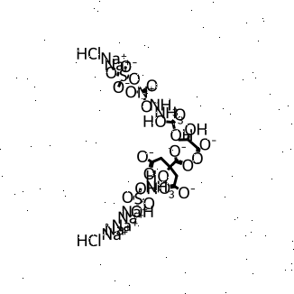 CC(O)C(=O)[O-].Cl.Cl.N.N.N.O=C(O)O.O=C([O-])CC(O)(CC(=O)[O-])C(=O)[O-].O=S(=O)(O)O.O=S(=O)([O-])[O-].O=[N+]([O-])[O-].[Na+].[Na+].[Na+].[Na+].[Na+].[Na+].[Na+]